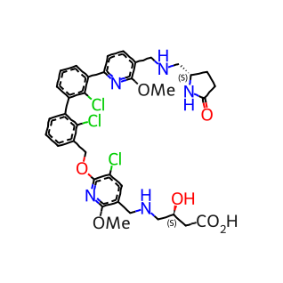 COc1nc(-c2cccc(-c3cccc(COc4nc(OC)c(CNC[C@@H](O)CC(=O)O)cc4Cl)c3Cl)c2Cl)ccc1CNC[C@@H]1CCC(=O)N1